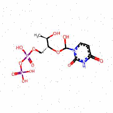 C[C@@H](O)[C@@H](COP(=O)(O)OP(=O)(O)O)OC(O)n1ccc(=O)[nH]c1=O